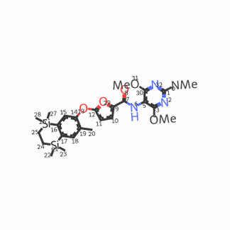 CNc1nc(OC)c(NC(=O)c2ccc(Oc3cc4c(cc3C)[Si](C)(C)CC[Si]4(C)C)o2)c(OC)n1